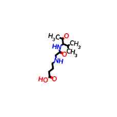 CC(=O)C(NC(=O)CNCCCC(=O)O)C(C)C